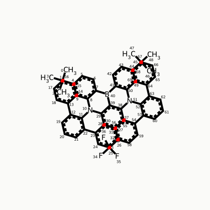 CC(C)(C)c1ccc2c(c1)N(c1c(-c3ccccc3)cccc1-c1ccccc1)c1cc(OC(F)(F)F)cc3c1B2c1ccc(C(C)(C)C)cc1N3c1c(-c2ccccc2)cccc1-c1ccccc1